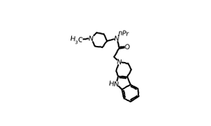 CCCN(C(=O)CN1CCc2c([nH]c3ccccc23)C1)C1CCN(C)CC1